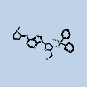 CN1CCC/C1=N\c1ncnc2c1ncn2[C@H]1C[C@H](O[Si](c2ccccc2)(c2ccccc2)C(C)(C)C)[C@@H](CO)O1